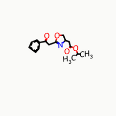 CC(C)OC(=O)CC1COC(CC(=O)c2ccccc2)=N1